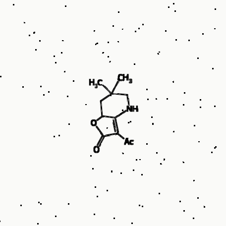 CC(=O)C1=C2NCC(C)(C)CC2OC1=O